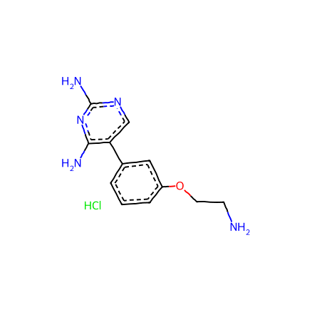 Cl.NCCOc1cccc(-c2cnc(N)nc2N)c1